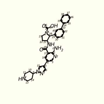 Nc1ncc(-c2cnn(C3CCNCC3)c2)cc1C(=O)NC1CCN(C(=O)O)C1c1cccc(-c2ccccc2)c1